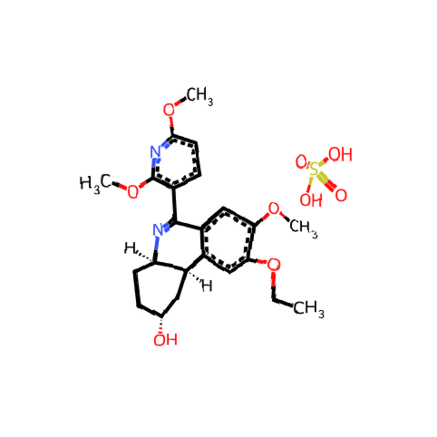 CCOc1cc2c(cc1OC)C(c1ccc(OC)nc1OC)=N[C@@H]1CC[C@@H](O)C[C@H]21.O=S(=O)(O)O